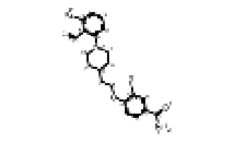 NC(=O)c1ccc(OCCC2CCN(c3cccc(Br)c3C=O)CC2)c(F)c1